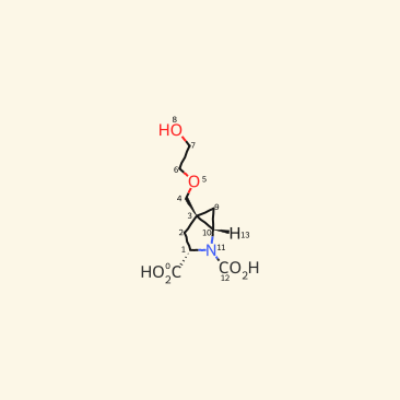 O=C(O)[C@@H]1C[C@]2(COCCO)C[C@@H]2N1C(=O)O